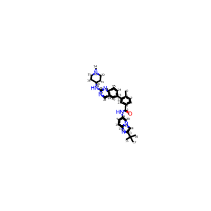 Cc1ccc(C(=O)Nc2ccc3nc(C(C)(C)C)cn3c2)cc1-c1ccc2nc(NC3CCN(C)CC3)ncc2c1